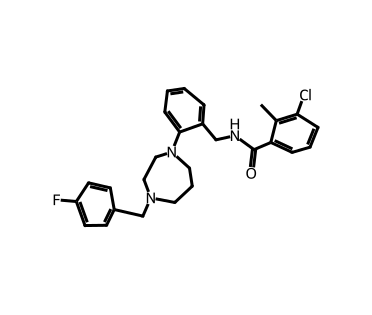 Cc1c(Cl)cccc1C(=O)NCc1ccccc1N1CCCN(Cc2ccc(F)cc2)CC1